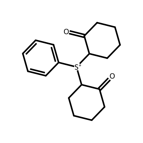 O=C1CCCCC1[S+](c1ccccc1)C1CCCCC1=O